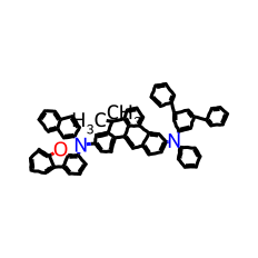 CC1(C)c2cc(N(c3ccc4ccccc4c3)c3cccc4c3oc3ccccc34)ccc2-c2cc3ccc(N(c4ccccc4)c4cc(-c5ccccc5)cc(-c5ccccc5)c4)cc3c3cccc1c23